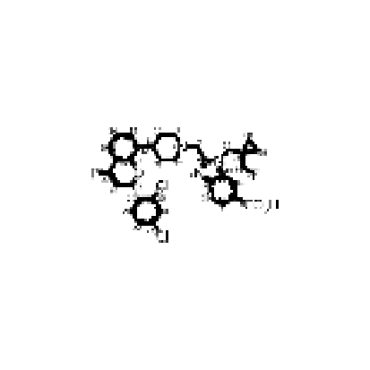 O=C(O)c1cnc2nc(CN3CCC(c4cccc5c4O[C@H](c4ccc(Cl)cc4Cl)C=C5F)CC3)n(CC3(CF)CC3)c2c1